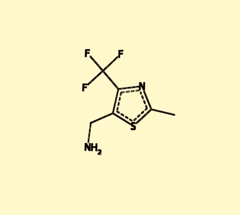 Cc1nc(C(F)(F)F)c(CN)s1